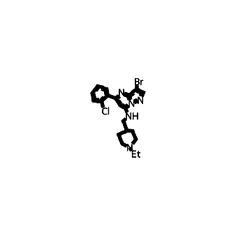 CCN1CCC(CNc2cc(-c3ccccc3Cl)nc3c(Br)cnn23)CC1